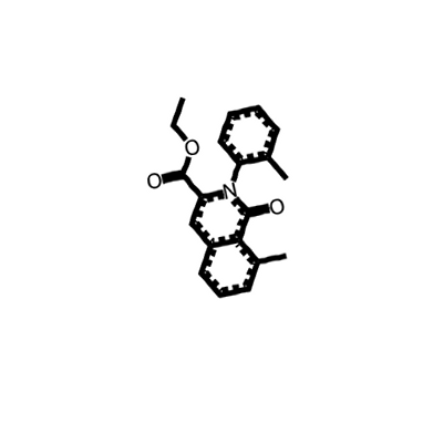 CCOC(=O)c1cc2cccc(C)c2c(=O)n1-c1ccccc1C